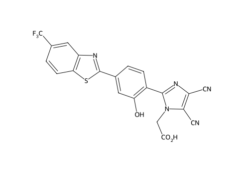 N#Cc1nc(-c2ccc(-c3nc4cc(C(F)(F)F)ccc4s3)cc2O)n(CC(=O)O)c1C#N